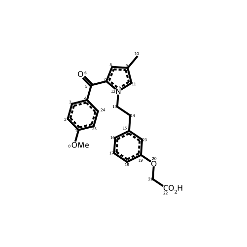 COc1ccc(C(=O)c2cc(C)cn2CCc2cccc(OCC(=O)O)c2)cc1